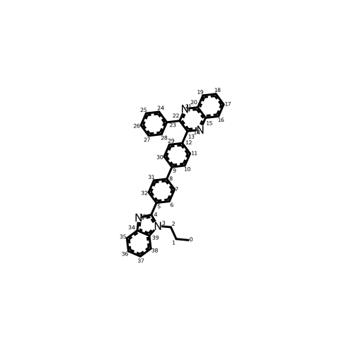 CCCn1c(-c2ccc(-c3ccc(-c4nc5ccccc5nc4-c4ccccc4)cc3)cc2)nc2ccccc21